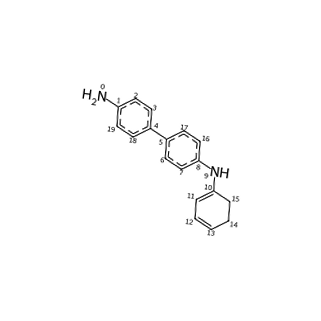 Nc1ccc(-c2ccc(NC3=CC=CCC3)cc2)cc1